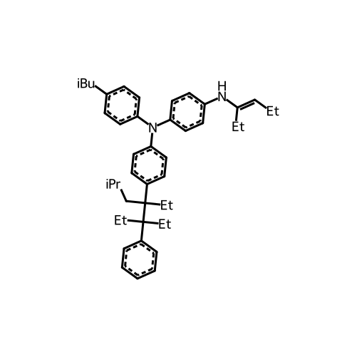 CC/C=C(\CC)Nc1ccc(N(c2ccc(C(C)CC)cc2)c2ccc(C(CC)(CC(C)C)C(CC)(CC)c3ccccc3)cc2)cc1